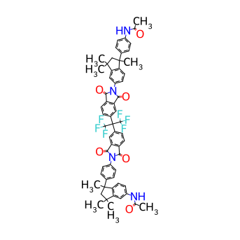 CC(=O)Nc1ccc(C2(C)CC(C)(C)c3cc(N4C(=O)c5ccc(C(c6ccc7c(c6)C(=O)N(c6ccc(C8(C)CC(C)(C)c9cc(NC(C)=O)ccc98)cc6)C7=O)(C(F)(F)F)C(F)(F)F)cc5C4=O)ccc32)cc1